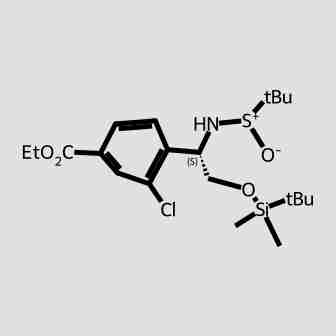 CCOC(=O)c1ccc([C@@H](CO[Si](C)(C)C(C)(C)C)N[S+]([O-])C(C)(C)C)c(Cl)c1